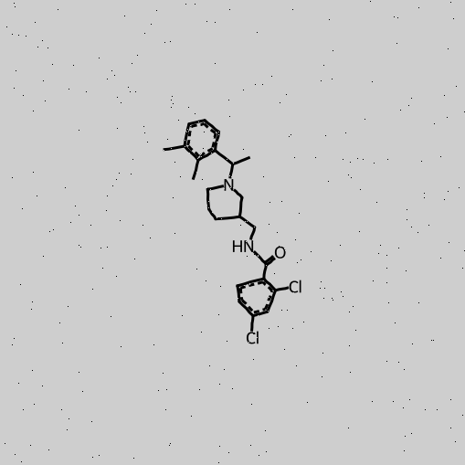 Cc1cccc(C(C)N2CCCC(CNC(=O)c3ccc(Cl)cc3Cl)C2)c1C